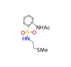 CSCCNS(=O)(=O)c1ccccc1NC(C)=O